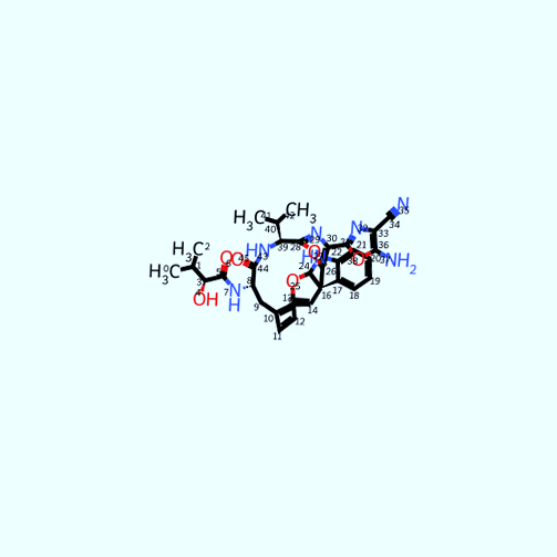 CC(C)[C@H](O)C(=O)N[C@H]1Cc2ccc3c(c2)[C@@]2(c4ccccc4NC2O3)c2oc(nc2-c2nc(C#N)c(N)o2)[C@H](C(C)C)NC1=O